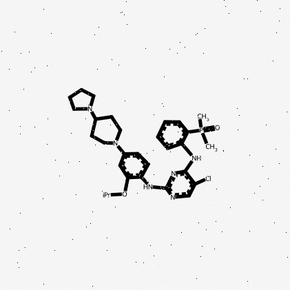 CC(C)Oc1cc(N2CCC(N3CCCC3)CC2)ccc1Nc1ncc(Cl)c(Nc2ccccc2P(C)(C)=O)n1